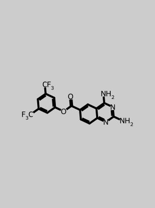 Nc1nc(N)c2cc(C(=O)Oc3cc(C(F)(F)F)cc(C(F)(F)F)c3)ccc2n1